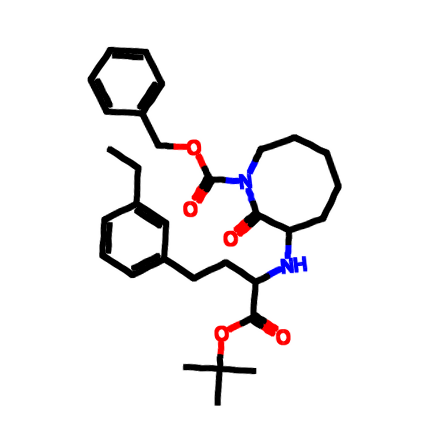 CCc1cccc(CCC(NC2CCCCCN(C(=O)OCc3ccccc3)C2=O)C(=O)OC(C)(C)C)c1